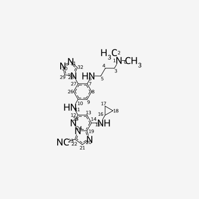 CN(C)CCCNc1ccc(Nc2cc(NC3CC3)c3ncc(C#N)n3n2)cc1-n1cnnc1